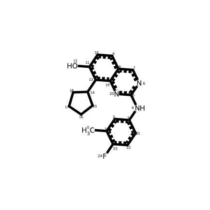 Cc1cc(Nc2ncc3ccc(O)c(C4CCCC4)c3n2)ccc1F